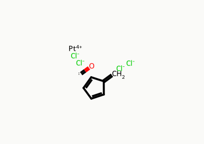 C=C1C=CC=C1.[C]=O.[Cl-].[Cl-].[Cl-].[Cl-].[Pt+4]